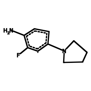 Nc1ccc(N2CCCC2)[c]c1F